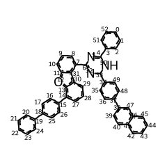 c1ccc(C2=NC(c3cccc4oc5c(-c6ccc(-c7ccccc7)cc6)cccc5c34)=NC(c3ccc(-c4ccc5ccccc5c4)cc3)N2)cc1